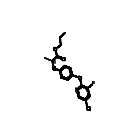 CCCOC(=O)[C@@H](C)Oc1ccc(Oc2ncc(Cl)cc2F)cc1